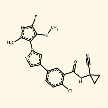 CSc1c(F)nn(C)c1-n1cc(-c2ccc(Cl)c(C(=O)NC3(C#N)CC3)c2)cn1